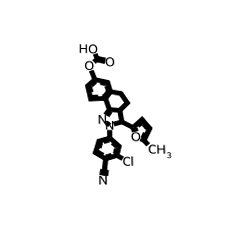 Cc1ccc(C2C3CCc4cc(OC(=O)O)ccc4C3=NN2c2ccc(C#N)c(Cl)c2)o1